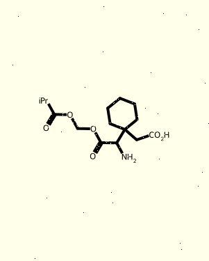 CC(C)C(=O)OCOC(=O)C(N)C1(CC(=O)O)CCCCC1